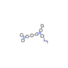 C/C=C\C=C/Cc1ccc(N(c2ccc(-c3ccccc3)cc2)c2ccc(-c3ccc(-c4ccc(N(c5ccccc5)c5ccccc5)cc4)cc3)cc2)cc1